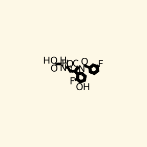 Cc1c(CC(=O)NCC(=O)O)c2c(F)c(O)ccc2n1C(=O)c1cccc(F)c1